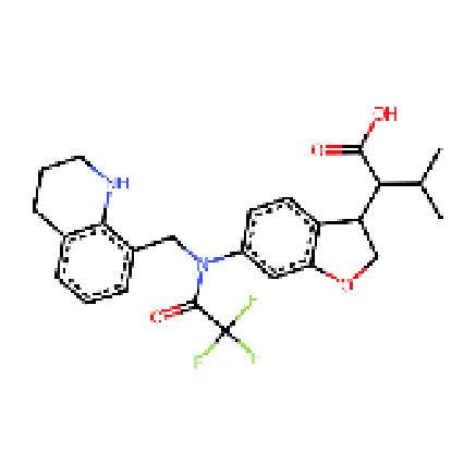 CC(C)C(C(=O)O)C1COc2cc(N(Cc3cccc4c3NCCC4)C(=O)C(F)(F)F)ccc21